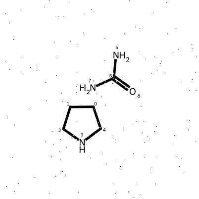 C1CCNC1.NC(N)=O